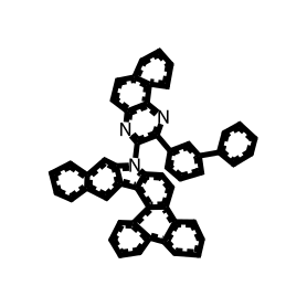 c1ccc(-c2cccc(-c3nc4c(ccc5ccccc54)nc3-n3c4cc5ccccc5cc4c4c5c6ccccc6c6ccccc6c5ccc43)c2)cc1